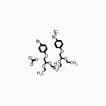 CCOC(COc1ccc(Br)cc1)OCC.CCOC(COc1ccc(Br)cc1)OCC.O=C([O-])[O-].[K+].[K+]